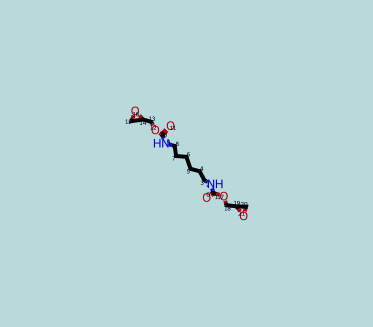 O=C(NCCCCCCNC(=O)OCC1CO1)OCC1CO1